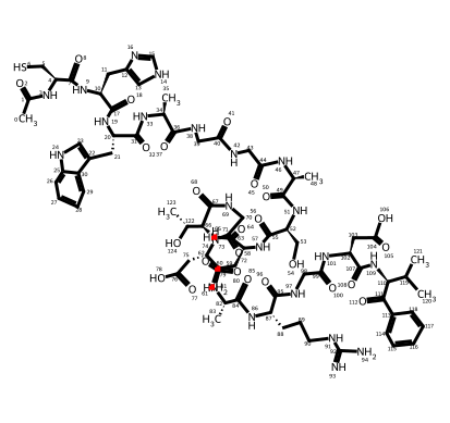 CC(=O)N[C@@H](CS)C(=O)N[C@@H](Cc1c[nH]cn1)C(=O)N[C@@H](Cc1c[nH]c2ccccc12)C(=O)N[C@@H](C)C(=O)NCC(=O)NCC(=O)N[C@@H](C)C(=O)N[C@@H](CO)C(=O)N[C@@H](CC(N)=O)C(=O)N[C@H](C(=O)NCC(=O)N[C@@H](CC(=O)O)C(=O)N[C@@H](C)C(=O)N[C@@H](CCCNC(=N)N)C(=O)NCC(=O)N[C@@H](CC(=O)O)C(=O)N[C@H](C(=O)c1ccccc1)C(C)C)[C@@H](C)O